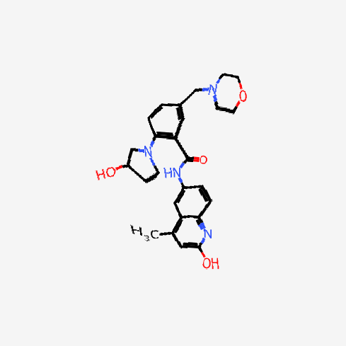 Cc1cc(O)nc2ccc(NC(=O)c3cc(CN4CCOCC4)ccc3N3CCC(O)C3)cc12